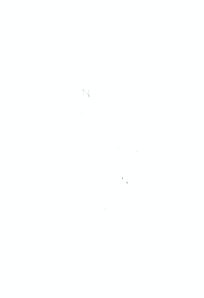 CNC(=O)OCC12CC1CN(C(=O)O)C2